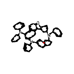 c1ccc(N(c2ccccc2)c2ccc3oc4ccc5c(N(c6ccccc6)c6ccccc6)cc(N(c6ccccc6)c6ccccc6)cc5c4c3c2)cc1